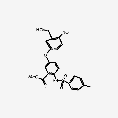 COC(=O)c1cc(Oc2ccc(N=O)c(CO)c2)ccc1NS(=O)(=O)c1ccc(C)cc1